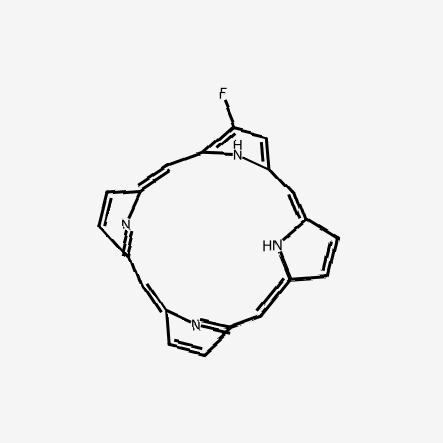 Fc1cc2cc3ccc(cc4nc(cc5nc(cc1[nH]2)C=C5)C=C4)[nH]3